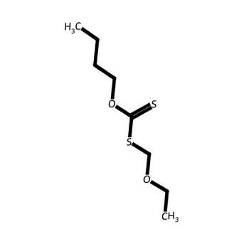 CCCCOC(=S)SCOCC